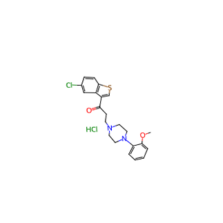 COc1ccccc1N1CCN(CCC(=O)c2csc3ccc(Cl)cc23)CC1.Cl